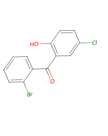 O=C(c1cc(Cl)ccc1O)c1ccccc1Br